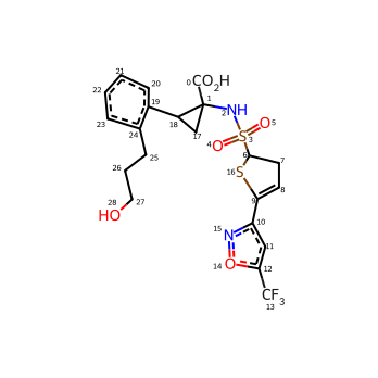 O=C(O)C1(NS(=O)(=O)C2CC=C(c3cc(C(F)(F)F)on3)S2)CC1c1ccccc1CCCO